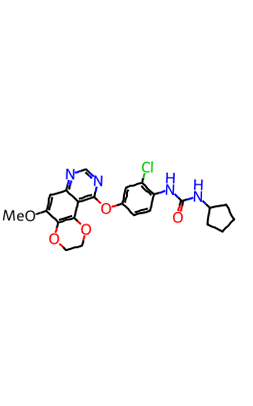 COc1cc2ncnc(Oc3ccc(NC(=O)NC4CCCC4)c(Cl)c3)c2c2c1OCCO2